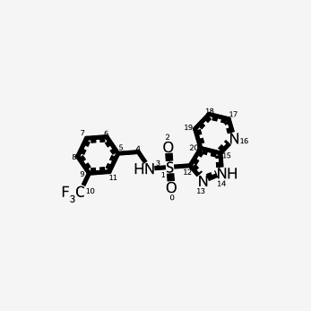 O=S(=O)(NCc1cccc(C(F)(F)F)c1)c1n[nH]c2ncccc12